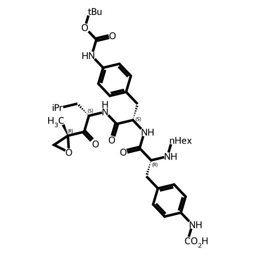 CCCCCCN[C@H](Cc1ccc(NC(=O)O)cc1)C(=O)N[C@@H](Cc1ccc(NC(=O)OC(C)(C)C)cc1)C(=O)N[C@@H](CC(C)C)C(=O)[C@@]1(C)CO1